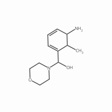 CC1C(C(O)N2CCOCC2)=CC=CC1N